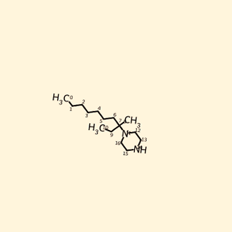 CCCCCCCC(C)(CC)N1CCNCC1